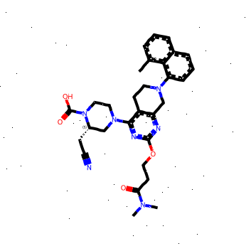 Cc1cccc2cccc(N3CCc4c(nc(OCCC(=O)N(C)C)nc4N4CCN(C(=O)O)[C@@H](CC#N)C4)C3)c12